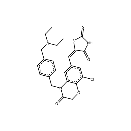 CCN(CC)Cc1ccc(CN2C(=O)COc3c(Cl)cc(C=C4SC(=S)NC4=O)cc32)cc1